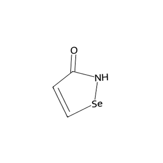 O=c1cc[se][nH]1